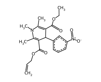 C=CCOC(=O)C1=C(C)N(C)C(C)=C(C(=O)OCC)C1c1cccc([N+](=O)[O-])c1